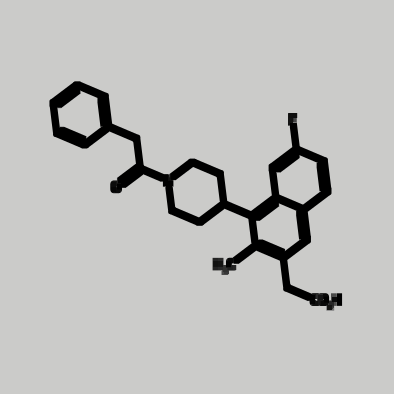 Cc1c(CC(=O)O)cc2ccc(F)cc2c1C1CCN(C(=O)Cc2ccccc2)CC1